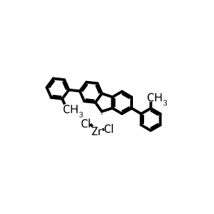 Cc1ccccc1-c1ccc2c(c1)[CH]c1cc(-c3ccccc3C)ccc1-2.[Cl][Zr][Cl]